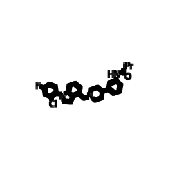 CC(C)C(=O)Nc1cccc(C2CCN(Cc3cccc4c3ccn4-c3ccc(F)cc3Cl)CC2)c1